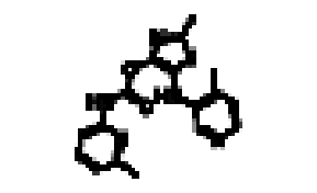 Cc1cccc(NC(=O)Oc2nc(C)sc2Nc2cnccc2C)n1